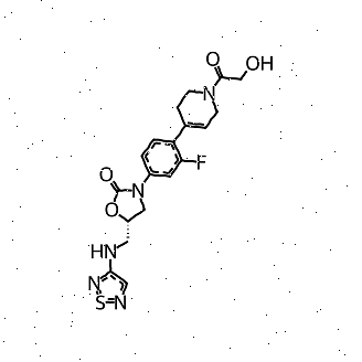 O=C(CO)N1CC=C(c2ccc(N3C[C@H](CNc4cnsn4)OC3=O)cc2F)CC1